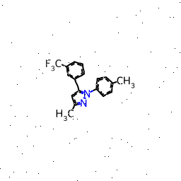 Cc1ccc(-n2nc(C)cc2-c2cccc(C(F)(F)F)c2)cc1